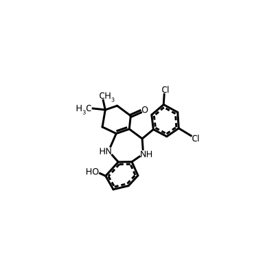 CC1(C)CC(=O)C2=C(C1)Nc1c(O)cccc1NC2c1cc(Cl)cc(Cl)c1